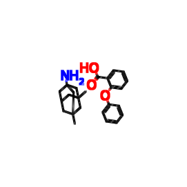 CC12CC3CC(C)(C1)CC(N)(C3)C2.O=C(O)c1ccccc1Oc1ccccc1